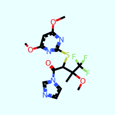 COc1cc(OC)nc(SC(C(=O)n2ccnc2)C(C)(OC)C(F)(F)F)n1